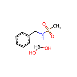 CS(=O)(=O)NCc1ccccc1.OBO